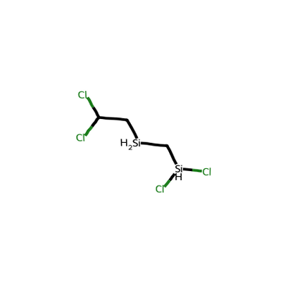 ClC(Cl)C[SiH2]C[SiH](Cl)Cl